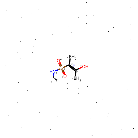 B/C(O)=C(/B)S(=O)(=O)NC(C)C